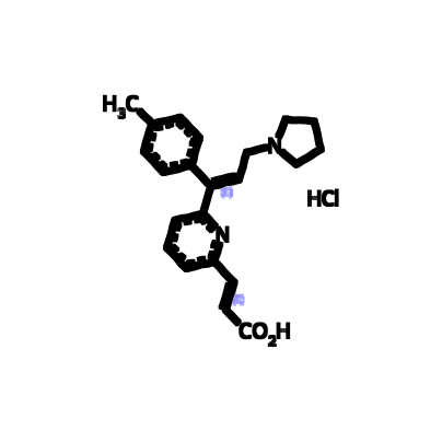 Cc1ccc(/C(=C\CN2CCCC2)c2cccc(/C=C/C(=O)O)n2)cc1.Cl